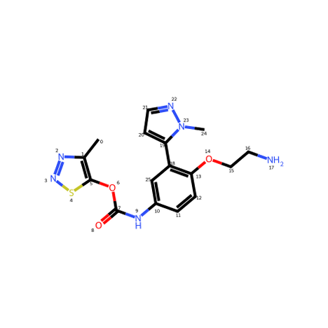 Cc1nnsc1OC(=O)Nc1ccc(OCCN)c(-c2ccnn2C)c1